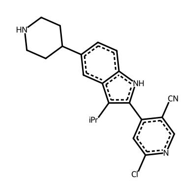 CC(C)c1c(-c2cc(Cl)ncc2C#N)[nH]c2ccc(C3CCNCC3)cc12